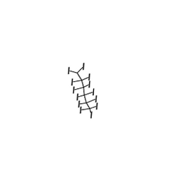 IC(I)C(I)(I)C(I)(I)C(I)(I)C(I)(I)C(I)(I)I